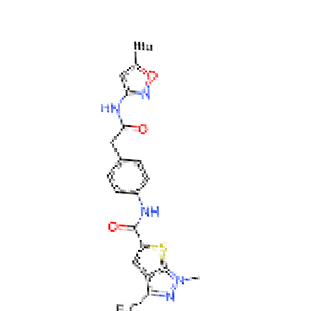 Cn1nc(C(F)(F)F)c2cc(C(=O)Nc3ccc(CC(=O)Nc4cc(C(C)(C)C)on4)cc3)sc21